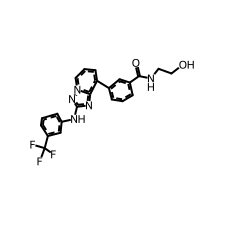 O=C(NCCO)c1cccc(-c2cccn3nc(Nc4cccc(C(F)(F)F)c4)nc23)c1